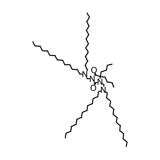 CCCCCCCCCCCCCCN(CCCCCCCCCCCCCC)CN1C(=O)N(CN(CCCCCCCCCCCCCC)CCCCCCCCCCCCCC)C(CCCC)(CCCC)C1=O